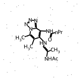 CCCC(=O)Nc1c(N/C=C(\C)NC(C)=O)c(C)c(C)n2nnnc12